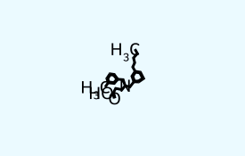 CCCCCc1cccc(CN(CCC(=O)O)Cc2cccc(C)c2)c1